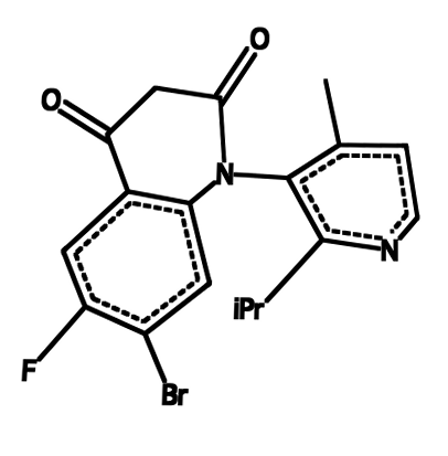 Cc1ccnc(C(C)C)c1N1C(=O)CC(=O)c2cc(F)c(Br)cc21